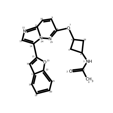 CC(=O)NC1CC(Oc2ccc3ncc(-c4cc5ccccc5o4)n3n2)C1